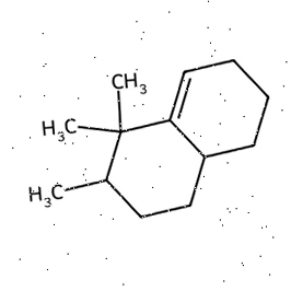 CC1CCC2CCCC=C2C1(C)C